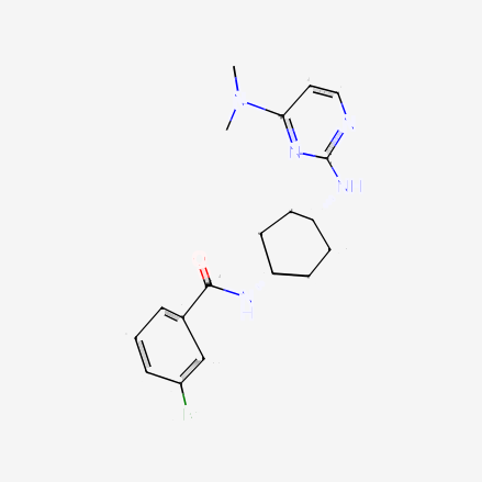 CN(C)c1ccnc(N[C@H]2CC[C@@H](NC(=O)c3cccc(Br)c3)CC2)n1